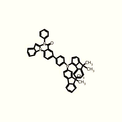 CC1(C)c2ccccc2-c2ccc(N(c3ccc(-c4ccc5c(c4)c(=O)n(-c4ccccc4)c4cc6ccccc6n54)cc3)c3cccc4c3-c3ccccc3C4(C)C)cc21